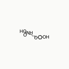 O=C(O)NCCCCOc1ccc(O)cc1